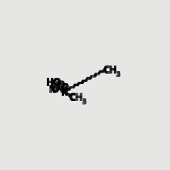 CCC=CCC=CCC=CCC=CCC=CCCCC(=O)N(CCCC)CCc1ccncc1C(=O)O